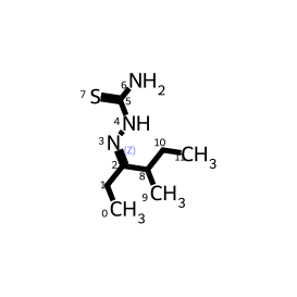 CC/C(=N/NC(N)=S)C(C)CC